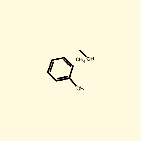 C.CO.Oc1ccccc1